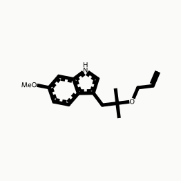 C=CCOC(C)(C)Cc1c[nH]c2cc(OC)ccc12